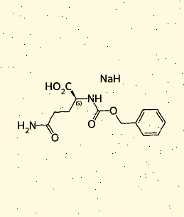 NC(=O)CC[C@H](NC(=O)OCc1ccccc1)C(=O)O.[NaH]